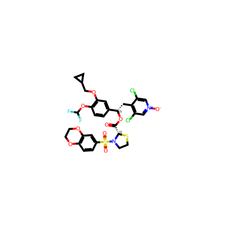 O=C(O[C@@H](Cc1c(Cl)c[n+]([O-])cc1Cl)c1ccc(OC(F)F)c(OCC2CC2)c1)[C@@H]1SCCN1S(=O)(=O)c1ccc2c(c1)OCCO2